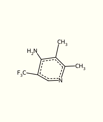 Cc1ncc(C(F)(F)F)c(N)c1C